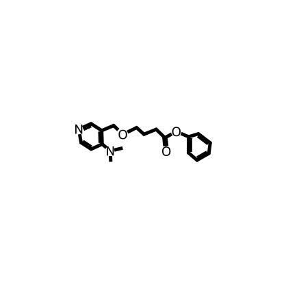 CN(C)c1ccncc1COCCCC(=O)Oc1ccccc1